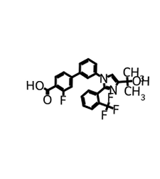 CC(C)(O)c1cn(-c2cccc(-c3ccc(C(=O)O)c(F)c3)c2)c(-c2ccccc2C(F)(F)F)n1